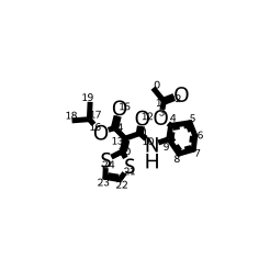 CC(=O)Oc1ccccc1NC(=O)C(C(=O)OC(C)C)=C1SC=CS1